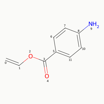 C=COC(=O)c1ccc(N)cc1